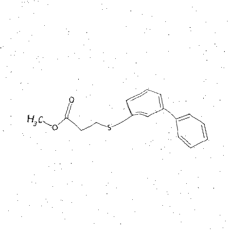 COC(=O)CCSc1cccc(-c2[c]cccc2)c1